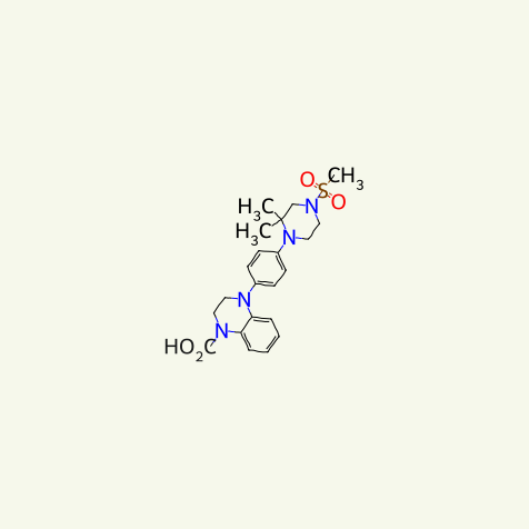 CC1(C)CN(S(C)(=O)=O)CCN1c1ccc(N2CCN(C(=O)O)c3ccccc32)cc1